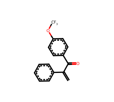 C=C(C(=O)c1ccc(OC(F)(F)F)cc1)c1ccccc1